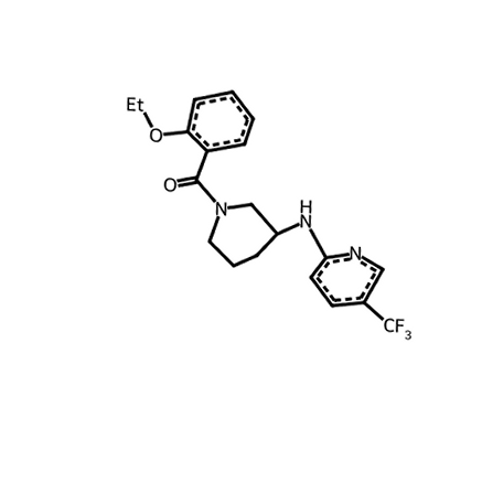 CCOc1ccccc1C(=O)N1CCCC(Nc2ccc(C(F)(F)F)cn2)C1